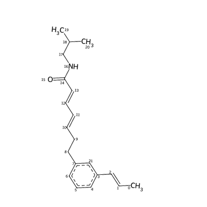 CC=Cc1cccc(CCC=C/C=C/C(=O)NCC(C)C)c1